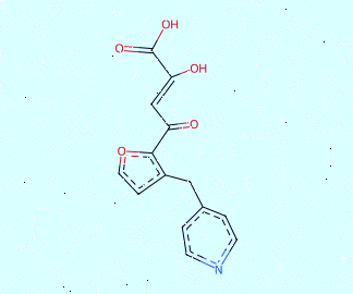 O=C(O)C(O)=CC(=O)c1occc1Cc1ccncc1